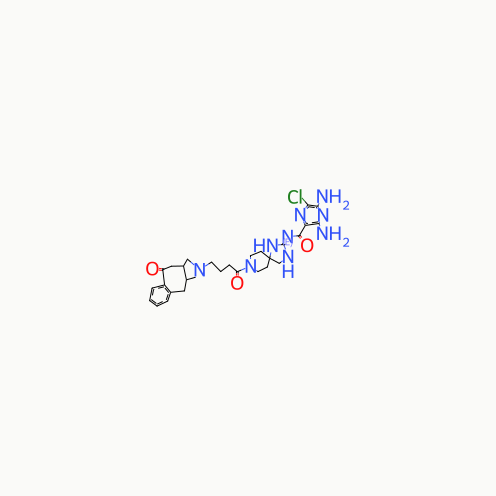 Nc1nc(N)c(C(=O)/N=C2\NCC3(CCN(C(=O)CCCN4CC5CC(=O)c6ccccc6CC5C4)CC3)N2)nc1Cl